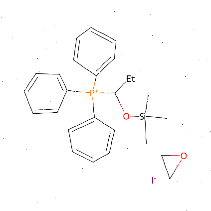 C1CO1.CCC(O[Si](C)(C)C)[P+](c1ccccc1)(c1ccccc1)c1ccccc1.[I-]